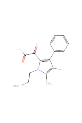 COCCn1c(C)c(F)c(-c2ccccc2)c1C(=O)C(=O)Cl